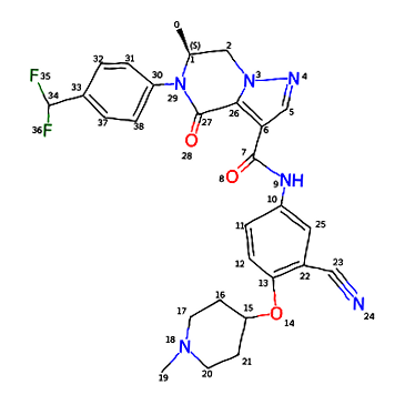 C[C@H]1Cn2ncc(C(=O)Nc3ccc(OC4CCN(C)CC4)c(C#N)c3)c2C(=O)N1c1ccc(C(F)F)cc1